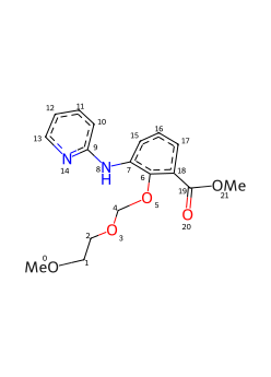 COCCOCOc1c(Nc2ccccn2)cccc1C(=O)OC